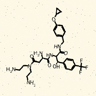 NCCN(CCN)C(=O)CC(N)C(=O)NC(C(=O)NCc1ccc(OC2CC2)cc1)[C@H](O)c1ccc(C(F)(F)F)cc1